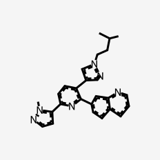 CC(C)CCn1cc(-c2ccc(-c3ccnn3C)nc2-c2ccc3cccnc3c2)cn1